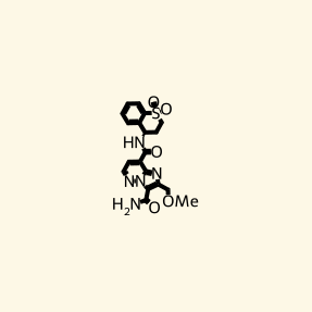 COCc1nc2c(C(=O)N[C@@H]3CCS(=O)(=O)c4ccccc43)ccnn2c1C(N)=O